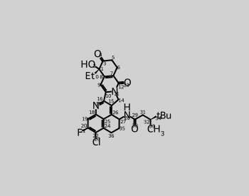 CC[C@@]1(O)C(=O)CCc2c1cc1n(c2=O)Cc2c-1nc1cc(F)c(Cl)c3c1c2C(NC(=O)C[C@H](C)C(C)(C)C)CC3